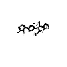 NC1=c2ccoc2=NC(Br)N1c1ccc(-c2cccc(F)c2F)cc1